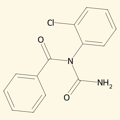 NC(=O)N(C(=O)c1ccccc1)c1ccccc1Cl